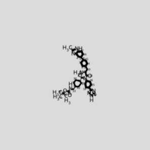 Cc1nc2cc(-c3ccc(C[C@H](N)C(=O)N(c4ccc(-c5nn[nH]n5)cc4)C(=O)[C@H]4CC[C@H](CNC(=O)OC(C)(C)C)CC4)cc3)ccc2[nH]1